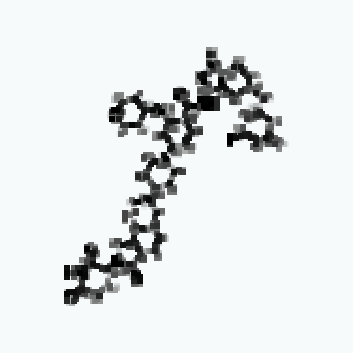 CN(Cc1ccc2c(c1F)CN(C1CCC(=O)NC1=O)C2=O)C1CCN(c2ccc(C(=O)Nc3n[nH]c4ccc(Cc5cc(F)cc(F)c5)cc34)c(NC3CCOCC3)c2)CC1